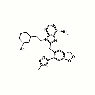 CC(=O)N1CCCC(CCn2c(Sc3cc4c(cc3-c3ncc(C)o3)OOC4)nc3c(N)ncnc32)C1